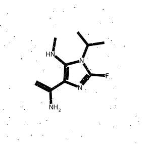 C=C(N)c1nc(F)n(C(C)C)c1NC